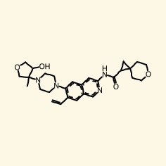 C=Cc1cc2cnc(NC(=O)C3CC34CCOCC4)cc2cc1N1CCN(C2(C)COCC2O)CC1